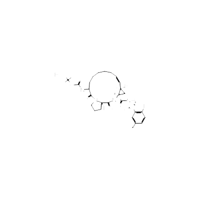 CC(C)(C)OC(=O)NC1CCCCC/C=C\[C@@H]2C[C@@]2(C(=O)NS(=O)(=O)c2cc(Cl)ccc2F)NC(=O)[C@@H]2CCCN2C1=O